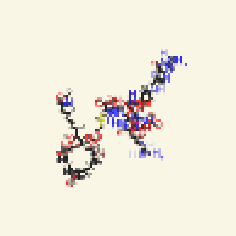 CO[C@@H](/C(C)=C/C=C/C(C)=C/c1coc(C)n1)[C@@H](C)[C@@H]1C[C@H](OC(=O)OCCSSC[C@H](NC(=O)[C@H](CCC(=O)O)NC(=O)[C@H](CC(=O)O)NC(=O)[C@H](CCCNC(=N)N)NC(=O)[C@H](CC(=O)O)NC(=O)CC[C@@H](C)NC(=O)c2ccc(NCc3cnc4nc(N)[nH]c(=O)c4n3)cc2)C(=O)O)[C@@]2(C)O[C@@H]2/C=C/[C@@H](C)[C@H]2C[C@H](CC(=O)O2)C[C@@H]2O[C@H]2C(=O)O1